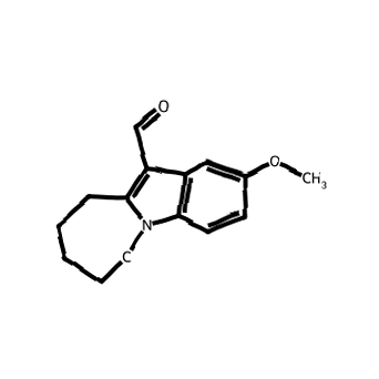 COc1ccc2c(c1)c(C=O)c1n2CCCCC1